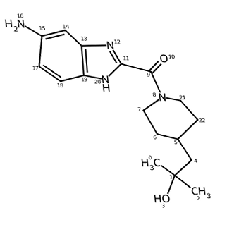 CC(C)(O)CC1CCN(C(=O)c2nc3cc(N)ccc3[nH]2)CC1